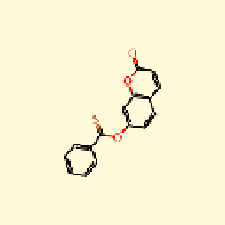 O=c1ccc2ccc(OC(=S)c3ccccc3)cc2o1